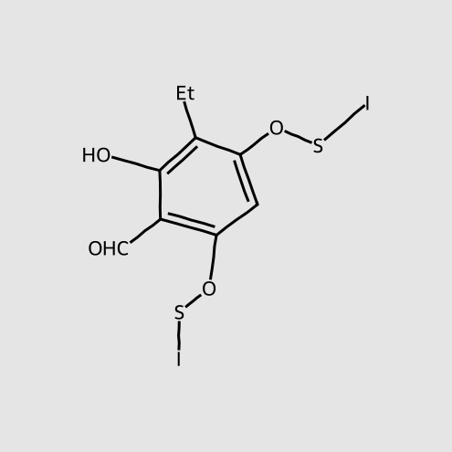 CCc1c(OSI)cc(OSI)c(C=O)c1O